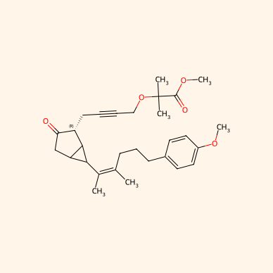 COC(=O)C(C)(C)OCC#CC[C@H]1C(=O)CC2C(C(C)=C(C)CCCc3ccc(OC)cc3)C21